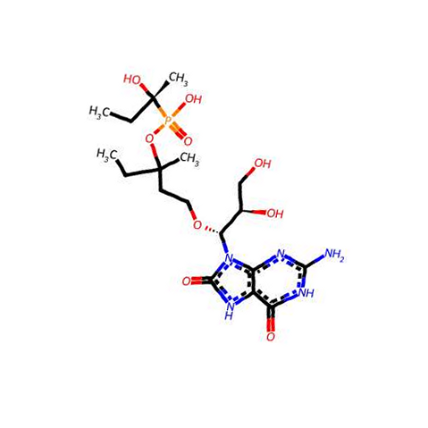 CCC(C)(CCO[C@H]([C@H](O)CO)n1c(=O)[nH]c2c(=O)[nH]c(N)nc21)OP(=O)(O)[C@@](C)(O)CC